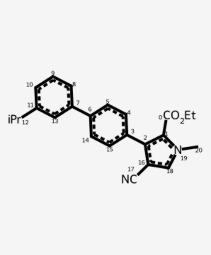 CCOC(=O)c1c(-c2ccc(-c3cccc(C(C)C)c3)cc2)c(C#N)cn1C